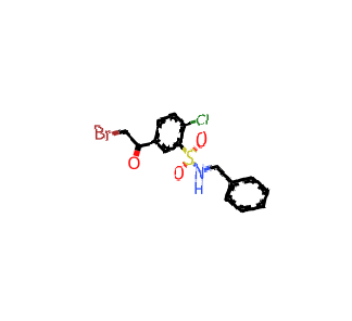 O=C(CBr)c1ccc(Cl)c(S(=O)(=O)NCc2ccccc2)c1